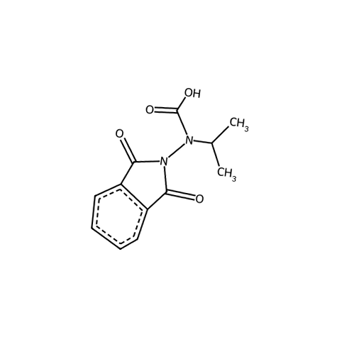 CC(C)N(C(=O)O)N1C(=O)c2ccccc2C1=O